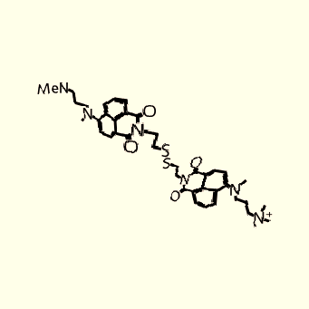 CNCCCN(C)c1ccc2c3c(cccc13)C(=O)N(CCSSCCN1C(=O)c3cccc4c(N(C)CCC[N+](C)(C)C)ccc(c34)C1=O)C2=O